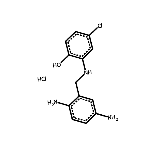 Cl.Nc1ccc(N)c(CNc2cc(Cl)ccc2O)c1